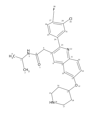 CC(C)NC(=O)Cc1cc2cc(OC3CCNCC3)ccc2nc1-c1ccc(F)c(Cl)c1